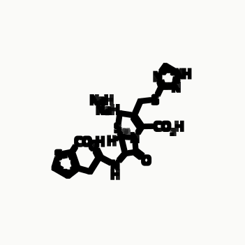 O=C(Cc1ccsc1C(=O)O)NC1C(=O)N2C(C(=O)O)=C(CSc3nc[nH]n3)CS[C@H]12.[NaH].[NaH]